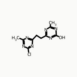 Cc1nc(O)nc(CCc2nc(C)nc(Cl)n2)n1